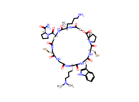 CN(C)CCCC[C@@H]1NC(=O)CNC(=O)[C@H](CS)NC(=O)C[C@@H](C(=O)N2CCC[C@H]2C(N)=O)NC(=O)[C@@](C)(CCCCN)NC(=O)COC(=O)[C@@H]2CCCN2C(=O)[C@H](CS)NC(=O)[C@H](Cc2c[nH]c3ccccc23)NC1=O